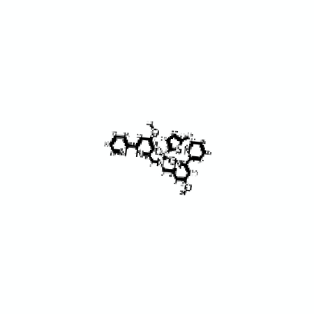 COc1cc(CN(Cc2cc(OC)cc(-c3ccccn3)n2)S(=O)(=O)c2ccc(C)s2)nc(-c2ccccn2)c1